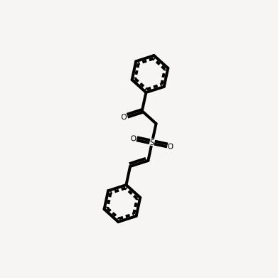 O=C(CS(=O)(=O)C=Cc1ccccc1)c1ccccc1